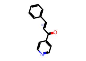 O=C(/C=C/c1ccccc1)c1ccncc1